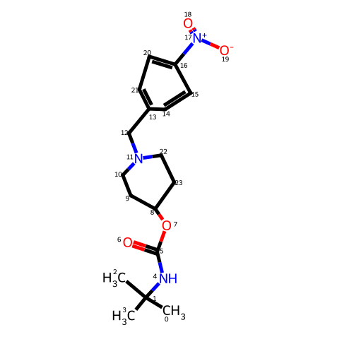 CC(C)(C)NC(=O)OC1CCN(Cc2ccc([N+](=O)[O-])cc2)CC1